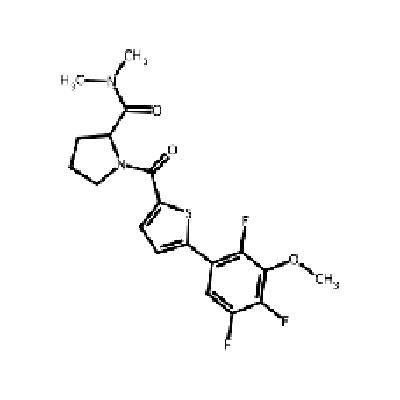 COc1c(F)c(F)cc(-c2ccc(C(=O)N3CCCC3C(=O)N(C)C)s2)c1F